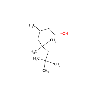 CC(CCO)CC(C)(C)CC(C)(C)C